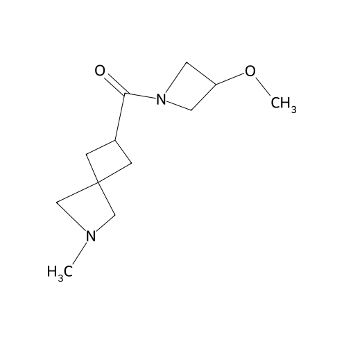 COC1CN(C(=O)C2CC3(C2)CN(C)C3)C1